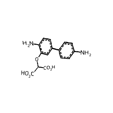 Nc1ccc(-c2ccc(N)c(OC(C(=O)O)C(=O)O)c2)cc1